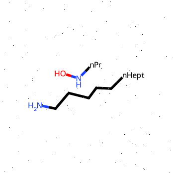 CCCCCCCCCCCCN.CCCNO